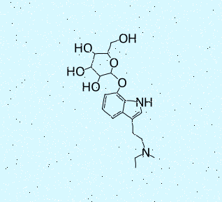 CCN(C)CCc1c[nH]c2c(OC3OC(CO)C(O)C(O)C3O)cccc12